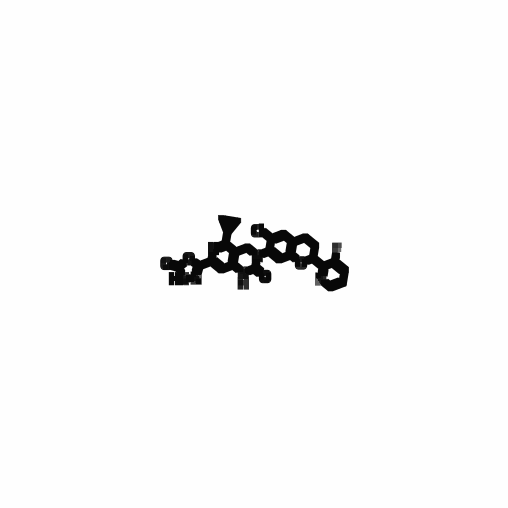 O=C1Nc2cc(-c3n[nH]c(=O)o3)nc(C3CC3)c2CN1c1cc2c(cc1Cl)CCC(c1ncccc1F)O2